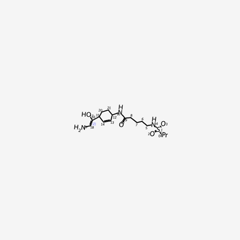 CC(C)S(=O)(=O)NCCCCC(=O)NC1C=CC(/C(O)=C/N)CC1